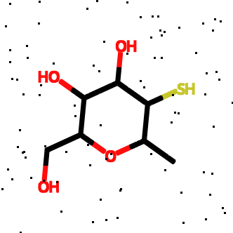 CC1OC(CO)C(O)C(O)C1S